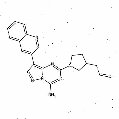 Nc1cc(N2CCC(CC=O)C2)nc2c(-c3cnc4ccccc4c3)cnn12